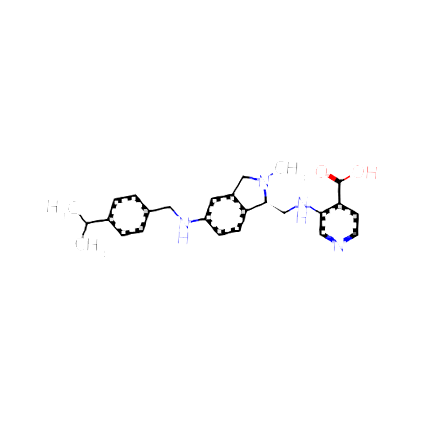 CC(C)c1ccc(CNc2ccc3c(c2)CN(C)[C@H]3CNc2cnccc2C(=O)O)cc1